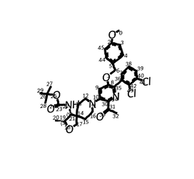 COc1ccc(COc2cc(N3CCC4(CC3)CO[C@@H](C)[C@H]4NC(=O)OC(C)(C)C)c(C(C)=O)nc2-c2cccc(Cl)c2Cl)cc1